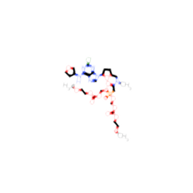 COCCOC(=O)OCOP(=O)(CC(=O)N(C)CC1CCC(n2cnc3c(NC4CCOC4)nc(Cl)nc32)O1)OCOC(=O)OCCOC